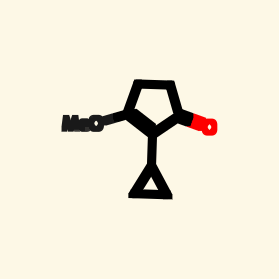 COC1=C(C2CC2)C(=O)CC1